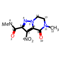 CNC(=O)c1nn2c(c1[N+](=O)[O-])C(=O)N(C)CC2